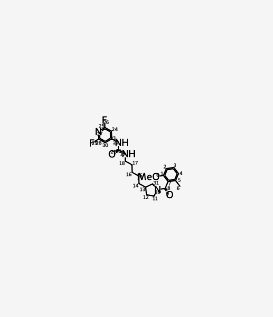 COc1cccc(C)c1C(=O)N1CCC(CCCCCNC(=O)Nc2cc(F)nc(F)c2)C1